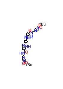 CC(C)(C)OC(=O)N1CCN(CCNC(=O)c2ccc3nc(-c4ccc(-c5nc6ccc(C(=O)NCCN7CCN(C(=O)OC(C)(C)C)CC7)cc6[nH]5)cc4)[nH]c3c2)CC1